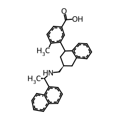 Cc1ccc(C(=O)O)cc1C1C[C@H](CN[C@H](C)c2cccc3ccccc23)Cc2ccccc21